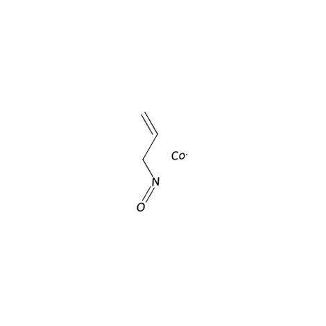 C=CCN=O.[Co]